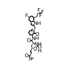 CN(C)C(=O)/C=C/CC[C@H](NC(=O)O)C(=O)Nc1cccn(Cc2cc3cc(F)cc(CCC(F)(F)F)c3[nH]2)c1=O